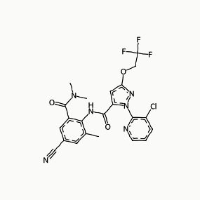 Cc1cc(C#N)cc(C(=O)N(C)C)c1NC(=O)c1cc(OCC(F)(F)F)nn1-c1ncccc1Cl